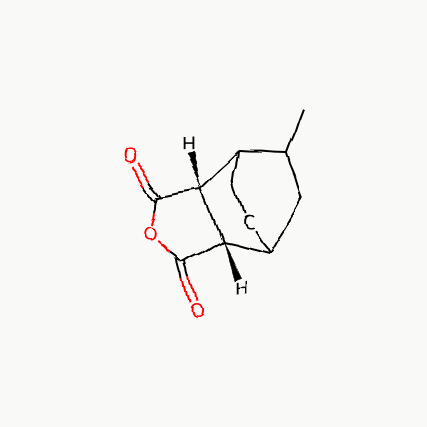 CC1CC2CCC1[C@H]1C(=O)OC(=O)[C@@H]21